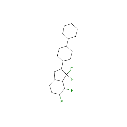 FC1CCC2CC(C3CCC(C4CCCCC4)CC3)C(F)(F)C2C1F